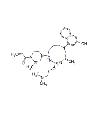 C=CC(=O)N1CCN(/C2=N/C(OCCN(C)C)=N\C(=C)CN(c3cc(O)cc4ccccc34)CCC2)C[C@@H]1C